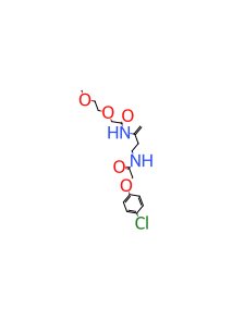 C=C(CCNC(=O)COc1ccc(Cl)cc1)NC(=O)COCCOC